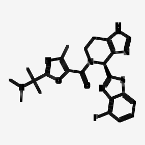 Cc1nc(C(C)(C)N(C)C)oc1C(=O)N1CCc2[nH]cnc2[C@H]1c1nc2c(F)cccc2s1